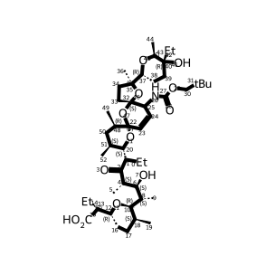 CCC(C(=O)[C@@H](C)[C@@H](O)[C@H](C)[C@@H]1O[C@@H]([C@@H](CC)C(=O)O)CC[C@@H]1C)[C@H]1O[C@]2(C=CC(NC(=O)OCC(C)(C)C)[C@]3(CC[C@@](C)([C@H]4CC[C@](O)(CC)[C@H](C)O4)O3)O2)[C@H](C)C[C@@H]1C